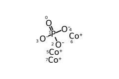 O=P([O-])([O-])[O-].[Co+].[Co+].[Co+]